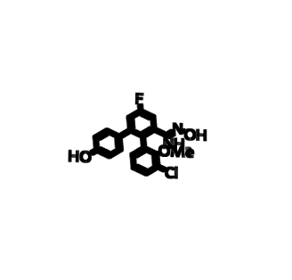 COc1c(Cl)cccc1-c1c(C(N)=NO)cc(F)cc1-c1ccc(O)cc1